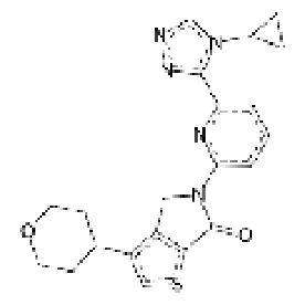 O=C1c2scc(C3CCOCC3)c2CN1c1cccc(-c2nncn2C2CC2)n1